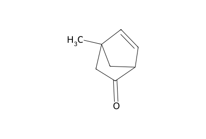 CC12C=CC(C1)C(=O)C2